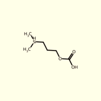 C[SiH](C)CCCOC(=O)O